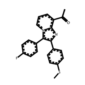 CSc1ccc(-c2nc3c(C(C)=O)cccn3c2-c2ccc(F)cc2)cc1